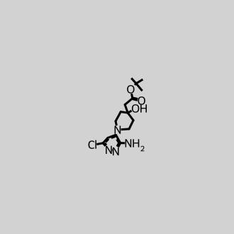 CC(C)(C)OC(=O)CC1(O)CCN(c2cc(Cl)nnc2N)CC1